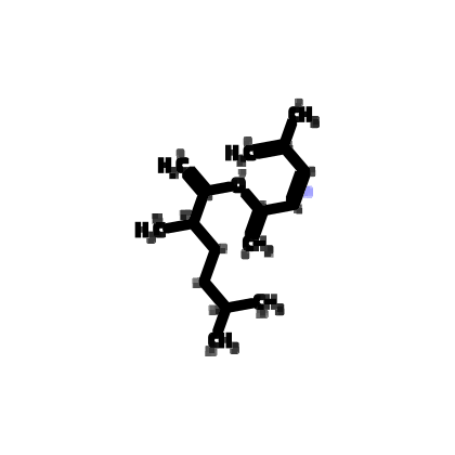 C=C(C)/C=C\C(=C)OC(=C)C(C)CCC(C)C